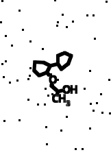 CC(O)COC1CCCCC1C1CCCCC1